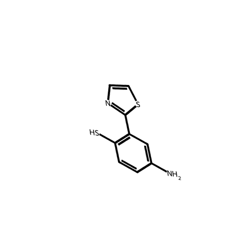 Nc1ccc(S)c(-c2nccs2)c1